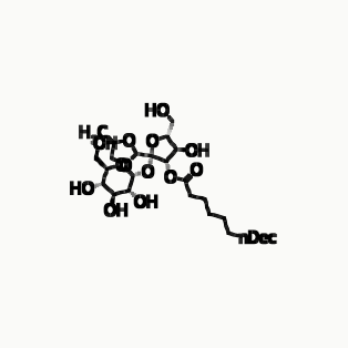 CCCCCCCCCCCCCCCC(=O)O[C@H]1[C@H](O)[C@@H](CO)O[C@]1(O[C@H]1O[C@H](CO)[C@@H](O)[C@H](O)[C@H]1O)C1OCC(C)O1